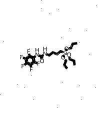 CCCO[Si](CCCCNC(=O)Nc1c(F)c(F)c(F)c(F)c1F)(OCCC)OCCC